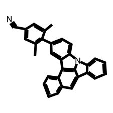 Cc1cc(C#N)cc(C)c1-c1ccc2c(c1)c1c3ccccc3cc3c4ccccc4n2c31